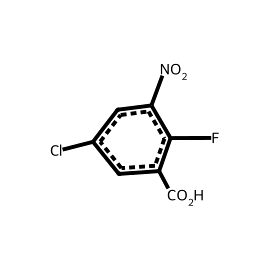 O=C(O)c1cc(Cl)cc([N+](=O)[O-])c1F